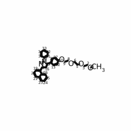 COCCOCCOCCOc1ccc(C2CC(c3cccc4ccccc34)=NN2c2ccccc2)cc1